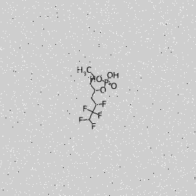 CCCC(CC(F)C(F)(F)C(F)F)OP(=O)(O)O